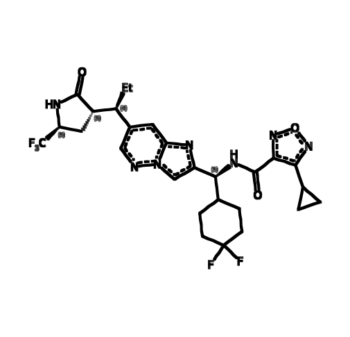 CC[C@@H](c1cnn2cc([C@@H](NC(=O)c3nonc3C3CC3)C3CCC(F)(F)CC3)nc2c1)[C@@H]1C[C@@H](C(F)(F)F)NC1=O